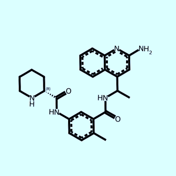 Cc1ccc(NC(=O)[C@H]2CCCCN2)cc1C(=O)NC(C)c1cc(N)nc2ccccc12